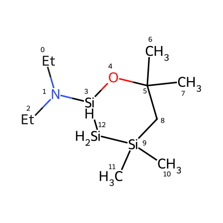 CCN(CC)[SiH]1OC(C)(C)C[Si](C)(C)[SiH2]1